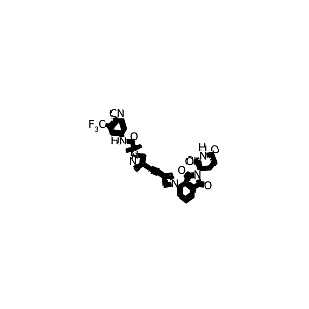 CC(C)(C(=O)Nc1ccc(C#N)c(C(F)(F)F)c1)n1cc(C#CC2CN(c3cccc4c3C(=O)N(C3CCC(=O)NC3=O)C4=O)C2)cn1